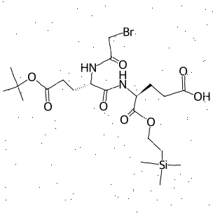 CC(C)(C)OC(=O)CC[C@H](NC(=O)CBr)C(=O)N[C@@H](CCC(=O)O)C(=O)OCC[Si](C)(C)C